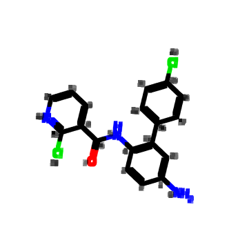 Nc1ccc(NC(=O)c2cccnc2Cl)c(-c2ccc(Cl)cc2)c1